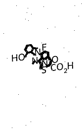 CN=c1c2c(N3CC4CC=CC(CO)C4C3)c(F)cc3c(=O)c(C(=O)O)c4scc1n4c32